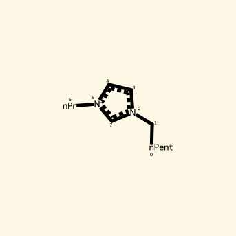 CCCCCCn1cc[n+](CCC)c1